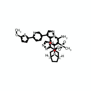 COc1ccc(-c2ccc(-c3cnn4c(N)c(S(C)(=O)=O)c([C@H]5C[C@H]6CC[C@@H](C5)N6C(=O)c5nnc[nH]5)nc34)cn2)s1